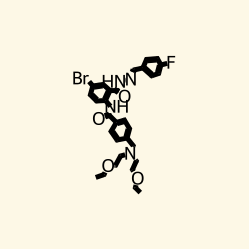 CCOCCN(CCOCC)Cc1ccc(C(=O)Nc2ccc(Br)cc2C(=O)NN=Cc2ccc(F)cc2)cc1